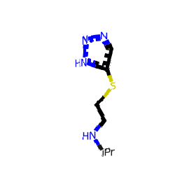 CC(C)NCCSc1cnn[nH]1